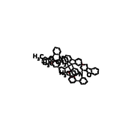 C=C(C)/C(=C\C=C/C)c1ccccc1N(c1ccc2c(c1)C(c1ccccc1)(C1(c3ccccc3)c3ccccc3-c3ccc(N(c4ccccc4-c4cccc(C)c4)c4cccc5c4oc4ccccc45)cc31)c1ccccc1-2)c1cccc2c1oc1ccccc12